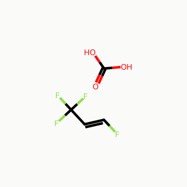 FC=CC(F)(F)F.O=C(O)O